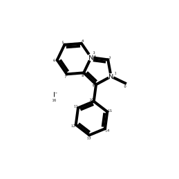 Cn1c[n+]2ccccc2c1-c1ccccc1.[I-]